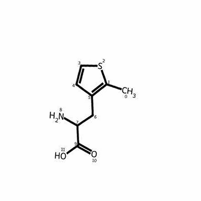 Cc1sccc1CC(N)C(=O)O